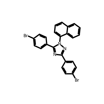 Brc1ccc(-c2nc(-c3ccc(Br)cc3)n(-c3cccc4ccccc34)n2)cc1